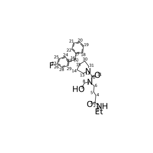 CCNC(=O)CCCN(CO)C(=O)N1CCC([C@@H](c2ccccc2)c2ccc(F)cc2)CC1